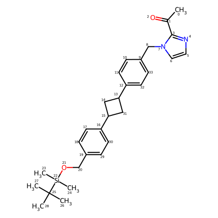 CC(=O)c1nccn1Cc1ccc(C2CC(c3ccc(CO[Si](C)(C)C(C)(C)C)cc3)C2)cc1